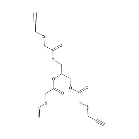 C#CCSCC(=O)OCC(COC(=O)CSCC#C)OC(=O)CSC=C